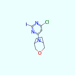 Clc1cc(N2C3CCC2COC3)nc(I)n1